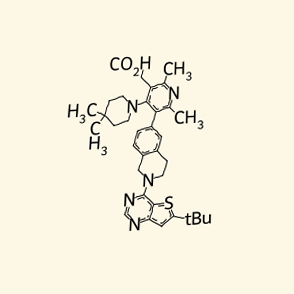 Cc1nc(C)c(-c2ccc3c(c2)CCN(c2ncnc4cc(C(C)(C)C)sc24)C3)c(N2CCC(C)(C)CC2)c1CC(=O)O